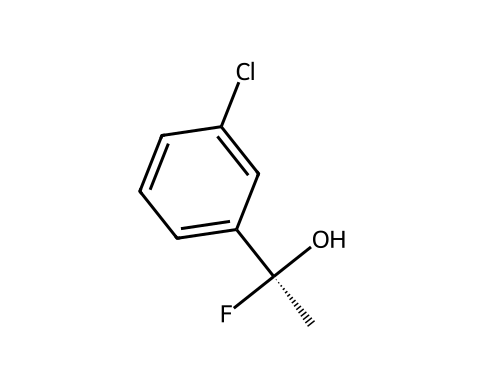 C[C@](O)(F)c1cccc(Cl)c1